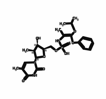 CC(NP(O)(=S)OC[C@H]1O[C@@H](n2cc(C)c(=O)[nH]c2=O)[C@@H](C)[C@@H]1O)=C(Oc1ccccc1)OC(C)C